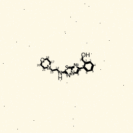 OCc1ccccc1-c1cn2nc(NCCN3CCOCC3)sc2n1